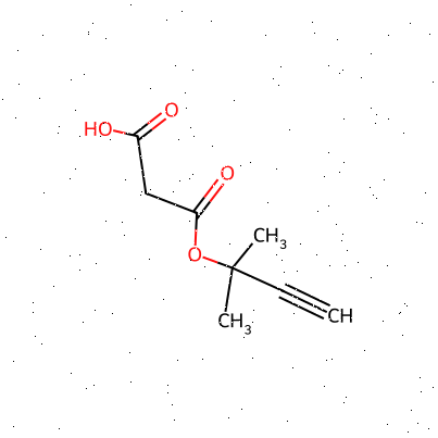 C#CC(C)(C)OC(=O)CC(=O)O